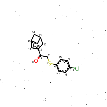 O=C(CSc1ccc(Cl)cc1)C12CC3CC(C3)(C1)C2